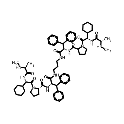 CN[C@@H](C)C(=O)N[C@H](C(=O)N1CCCC1C(=O)N[C@H](C(=O)NCCCNC(=O)[C@@H](NC(=O)[C@@H]1CCCN1C(=O)[C@@H](NC(=O)[C@H](C)NC)C1CCCCC1)C(c1ccccc1)c1ccccc1)C(c1ccccc1)c1ccccc1)C1CCCCC1